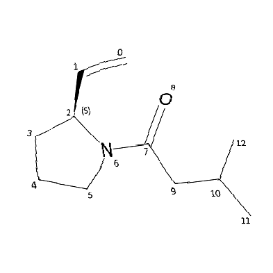 C=C[C@@H]1CCCN1C(=O)CC(C)C